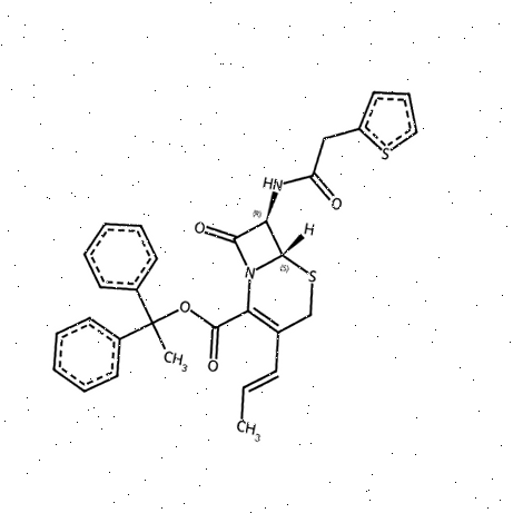 CC=CC1=C(C(=O)OC(C)(c2ccccc2)c2ccccc2)N2C(=O)[C@@H](NC(=O)Cc3cccs3)[C@@H]2SC1